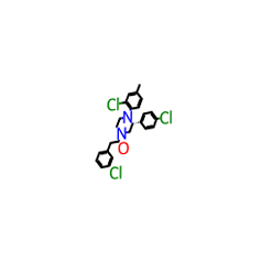 Cc1ccc(N2CCN(C(=O)Cc3cccc(Cl)c3)C[C@H]2c2ccc(Cl)cc2)c(Cl)c1